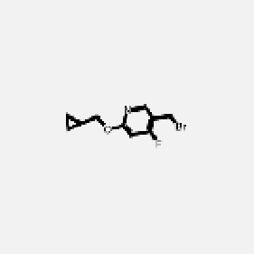 Fc1cc(OCC2CC2)ncc1CBr